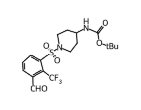 CC(C)(C)OC(=O)NC1CCN(S(=O)(=O)c2cccc(C=O)c2C(F)(F)F)CC1